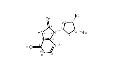 CC[C@H]1O[C@@H](n2c(=O)[nH]c3c(=O)[nH]cnc32)C[C@H]1I